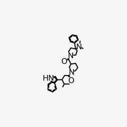 CC(C)C(CC(=O)N1CCCC(C(=O)N2CCC(c3ccccc3)(N(C)C)CC2)C1)c1c[nH]c2ccccc12